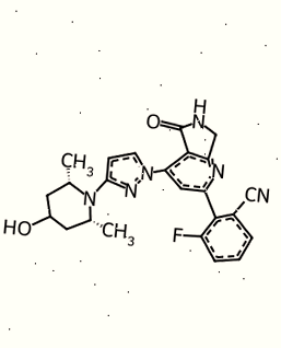 C[C@@H]1CC(O)C[C@H](C)N1c1ccn(-c2cc(-c3c(F)cccc3C#N)nc3c2C(=O)NC3)n1